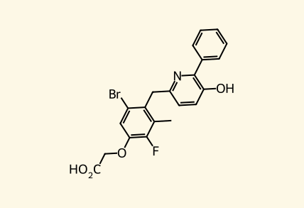 Cc1c(F)c(OCC(=O)O)cc(Br)c1Cc1ccc(O)c(-c2ccccc2)n1